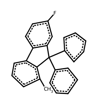 Cc1cccc2c1C(c1ccccc1)(c1ccccc1)c1cc(F)ccc1-2